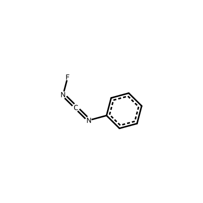 FN=C=Nc1ccccc1